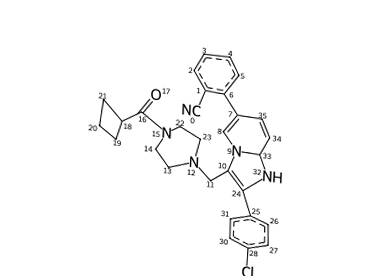 N#Cc1ccccc1C1=CN2C(CN3CCN(C(=O)C4CCC4)CC3)=C(c3ccc(Cl)cc3)NC2C=C1